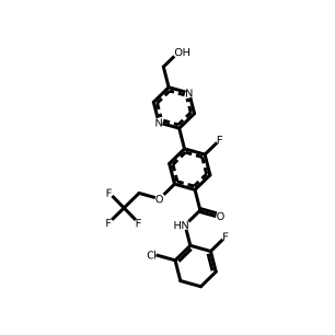 O=C(NC1=C(Cl)CCC=C1F)c1cc(F)c(-c2cnc(CO)cn2)cc1OCC(F)(F)F